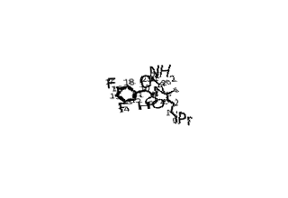 CC(C)CC[C@H](O)C(C)N(C(=O)Cc1cc(F)cc(F)c1)[C@@H](C)C(N)=O